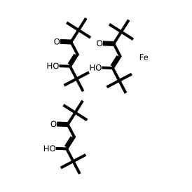 CC(C)(C)C(=O)/C=C(\O)C(C)(C)C.CC(C)(C)C(=O)/C=C(\O)C(C)(C)C.CC(C)(C)C(=O)/C=C(\O)C(C)(C)C.[Fe]